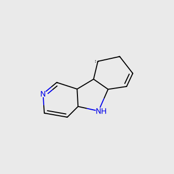 [C]1CC=CC2NC3C=CN=CC3C12